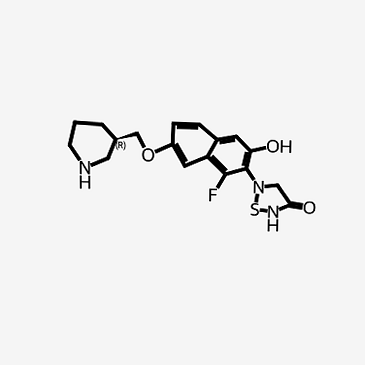 O=C1CN(c2c(O)cc3ccc(OC[C@@H]4CCCNC4)cc3c2F)SN1